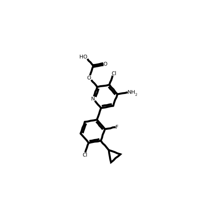 Nc1cc(-c2ccc(Cl)c(C3CC3)c2F)nc(OC(=O)O)c1Cl